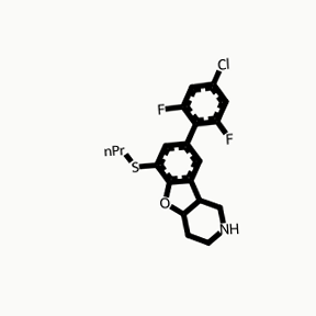 CCCSc1cc(-c2c(F)cc(Cl)cc2F)cc2c1OC1CCNCC21